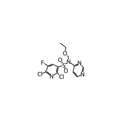 CCOCN(c1ccncn1)S(=O)(=O)c1cc(F)c(Cl)nc1Cl